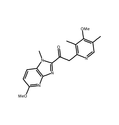 COc1ccc2c(n1)nc(C(=O)Cc1ncc(C)c(OC)c1C)n2C